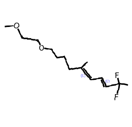 COCCOCCCC/C(C)=C/C=C/C(C)(F)F